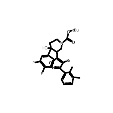 Cc1cccc(-c2noc(C3CN(C(=O)OC(C)(C)C)CCC3(O)c3ccc(F)c(F)c3)c2Br)c1C